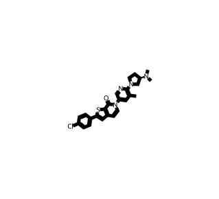 Cc1cc(-n2ccc3cc(-c4ccc(Cl)cc4)sc3c2=O)cnc1N1CC[C@@H](N(C)C)C1